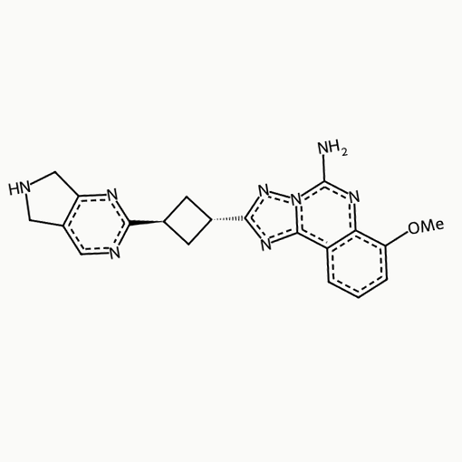 COc1cccc2c1nc(N)n1nc([C@H]3C[C@H](c4ncc5c(n4)CNC5)C3)nc21